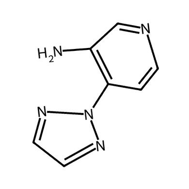 Nc1cnccc1-n1nccn1